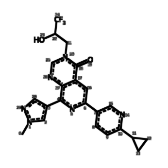 Cn1cc(-c2nc(-c3ccc(C4CC4)nc3)cc3c(=O)n(CC(O)C(F)(F)F)cnc23)cn1